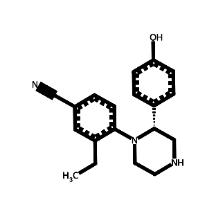 CCc1cc(C#N)ccc1N1CCNC[C@H]1c1ccc(O)cc1